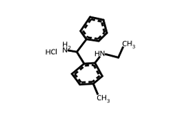 CCNc1cc(C)ccc1C(N)c1ccccc1.Cl